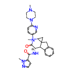 CN1CCN(c2ccc([N+]3(C)C(=O)[C@@H](NC(=O)c4ccnn4C)C4c5ccccc5CC45CC53)cn2)CC1